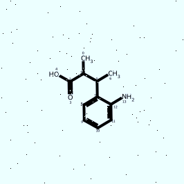 CC(C(=O)O)C(C)c1ccccc1N